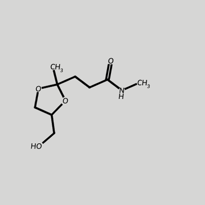 CNC(=O)CCC1(C)OCC(CO)O1